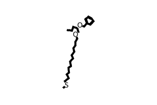 CCCC(COCCCCCCCCCCCCCCSC)OCc1ccccc1